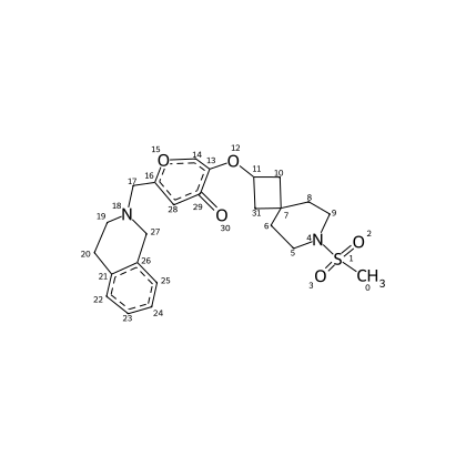 CS(=O)(=O)N1CCC2(CC1)CC(Oc1coc(CN3CCc4ccccc4C3)cc1=O)C2